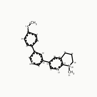 CSc1ccc(-c2cncc(-c3cnc4c(c3)CCCN4C)c2)cc1